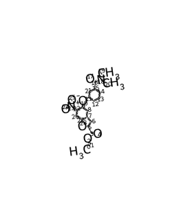 CCOC(=O)c1cc2cc(Oc3cccc(C(=O)N(C)C)c3)c([N+](=O)[O-])cc2o1